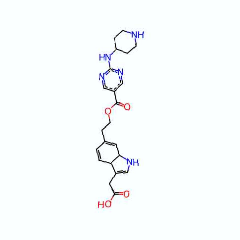 O=C(O)CC1=CNC2C=C(CCOC(=O)c3cnc(NC4CCNCC4)nc3)C=CC12